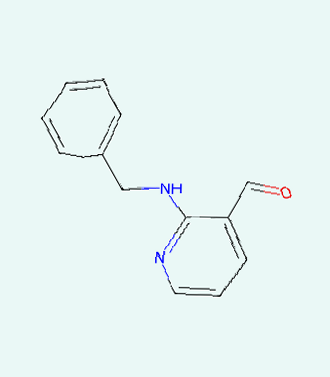 O=Cc1cccnc1NCc1ccccc1